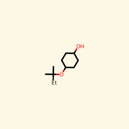 CCC(C)(C)OC1CCC(O)CC1